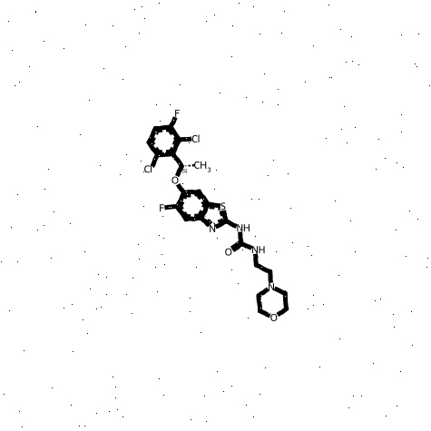 C[C@H](Oc1cc2sc(NC(=O)NCCN3CCOCC3)nc2cc1F)c1c(Cl)ccc(F)c1Cl